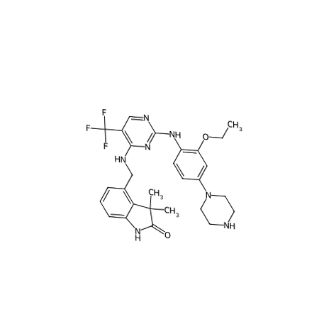 CCOc1cc(N2CCNCC2)ccc1Nc1ncc(C(F)(F)F)c(NCc2cccc3c2C(C)(C)C(=O)N3)n1